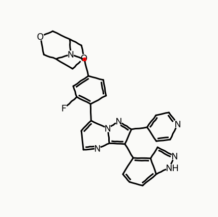 Fc1cc(CN2C3COCC2COC3)ccc1-c1ccnc2c(-c3cccc4[nH]ncc34)c(-c3ccncc3)nn12